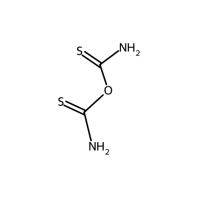 NC(=S)OC(N)=S